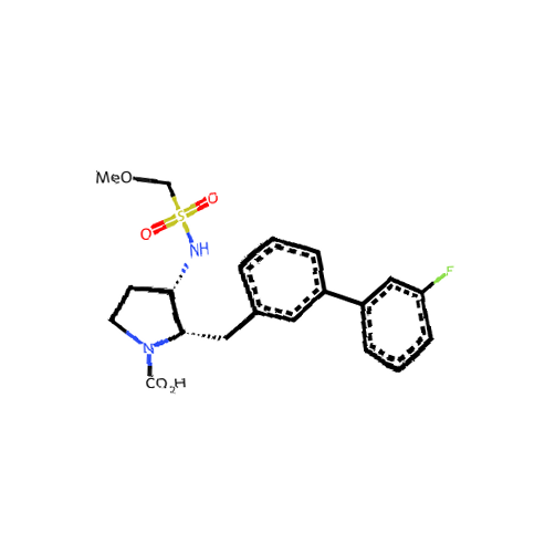 COCS(=O)(=O)N[C@H]1CCN(C(=O)O)[C@H]1Cc1cccc(-c2cccc(F)c2)c1